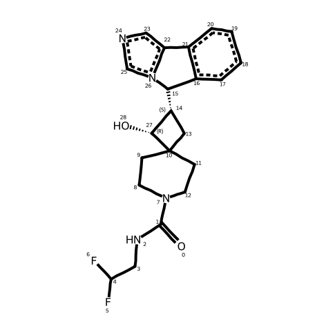 O=C(NCC(F)F)N1CCC2(CC1)C[C@@H](C1c3ccccc3-c3cncn31)[C@H]2O